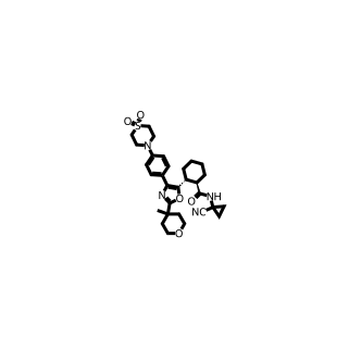 CC1(c2nc(-c3ccc(N4CCS(=O)(=O)CC4)cc3)c([C@@H]3CCCC[C@H]3C(=O)NC3(C#N)CC3)o2)CCOCC1